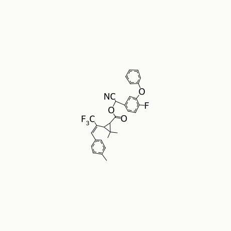 Cc1ccc(C=C(C2C(C(=O)OC(C#N)c3ccc(F)c(Oc4ccccc4)c3)C2(C)C)C(F)(F)F)cc1